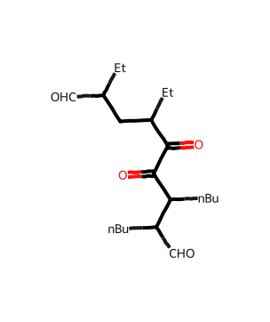 CCCCC(C=O)C(CCCC)C(=O)C(=O)C(CC)CC(C=O)CC